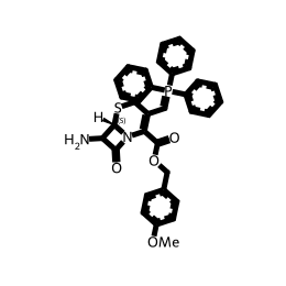 COc1ccc(COC(=O)C2=C(C=P(c3ccccc3)(c3ccccc3)c3ccccc3)CS[C@H]3C(N)C(=O)N23)cc1